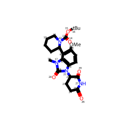 COc1ccc2c(c1C1CCCCN1C(=O)OC(C)(C)C)n(C)c(=O)n2C1CCC(=O)NC1=O